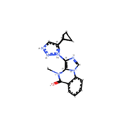 CN1C(=O)c2ccccc2[N+]2C=NC(n3nncc3C3CC3)=C12